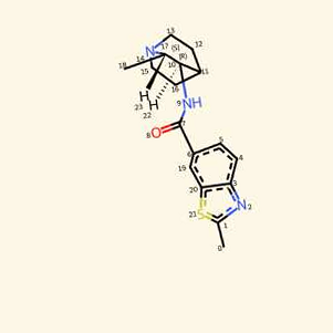 Cc1nc2ccc(C(=O)N[C@@H]3C4CCN(CC4)[C@H]3C)cc2s1